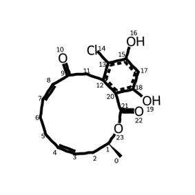 C[C@H]1CC=CCCC=CC(=O)Cc2c(Cl)c(O)cc(O)c2C(=O)O1